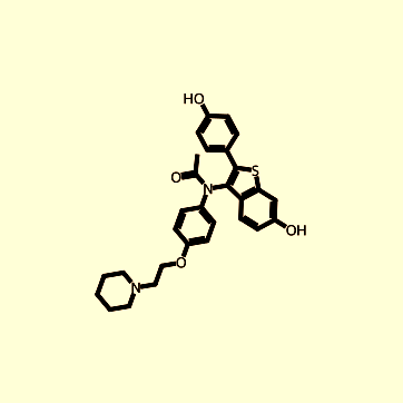 CC(=O)N(c1ccc(OCCN2CCCCC2)cc1)c1c(-c2ccc(O)cc2)sc2cc(O)ccc12